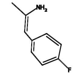 CC(N)=Cc1ccc(F)cc1